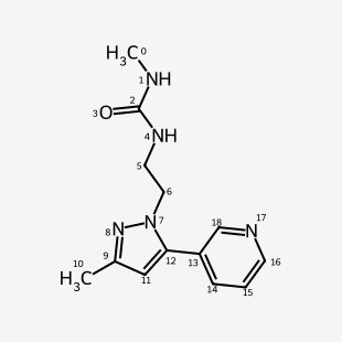 CNC(=O)NCCn1nc(C)cc1-c1cccnc1